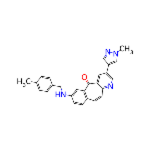 Cc1ccc(CNc2ccc3ccc4ncc(-c5cnn(C)c5)cc4c(=O)c3c2)cc1